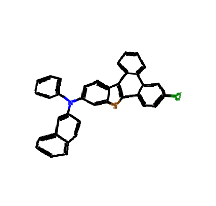 Clc1ccc2c(c1)c1ccccc1c1c3ccc(N(c4ccccc4)c4ccc5ccccc5c4)cc3sc21